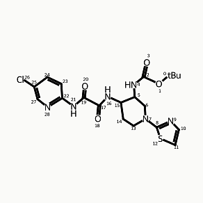 CC(C)(C)OC(=O)NC1CN(c2nccs2)CCC1NC(=O)C(=O)Nc1ccc(Cl)cn1